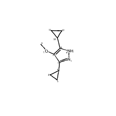 COc1c(C2CC2)n[nH]c1C1CC1